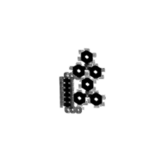 O=C([O-])C(F)(F)C(F)(F)C(F)(F)C(F)(F)C(F)(F)C(F)(F)C(=O)[O-].c1ccc([S+](c2ccccc2)c2ccccc2)cc1.c1ccc([S+](c2ccccc2)c2ccccc2)cc1